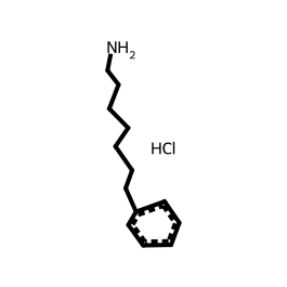 Cl.NCCCCCCCc1ccccc1